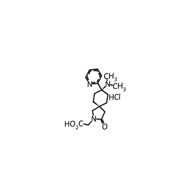 CN(C)[C@]1(c2ccccn2)CC[C@@]2(CC1)CC(=O)N(CC(=O)O)C2.Cl